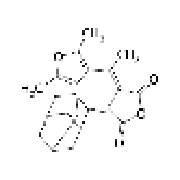 C/C(=C1\C(=O)OC(=O)C1=C1C2CC3CC(C2)CC1C3)c1cc(C)oc1C